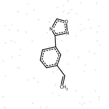 C=Cc1cccc(-c2ncon2)c1